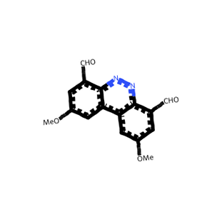 COc1cc(C=O)c2nnc3c(C=O)cc(OC)cc3c2c1